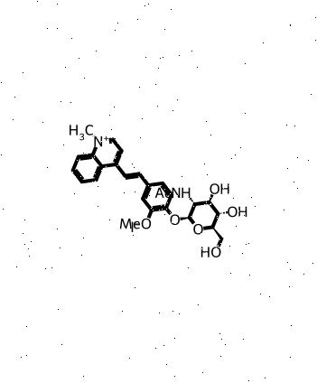 COc1cc(/C=C/c2cc[n+](C)c3ccccc23)ccc1O[C@@H]1O[C@H](CO)[C@@H](O)[C@H](O)[C@H]1NC(C)=O.[I-]